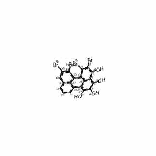 Oc1c(O)c2c(O)c(Br)c(Br)c3c4c(Br)c(Br)cc5cccc(c(c1O)c23)c54